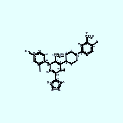 CCOC(=O)C1=C(C2CCN(c3ncc(C)c(C(=O)O)n3)CC2)NC(c2nccs2)=NC1c1ccc(F)cc1C